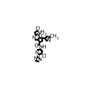 Cn1cc(C2(C)CC(C(=O)Nc3cnc(-n4nccn4)c(Cl)c3)c3cnc4cc(Cl)nn4c32)cn1